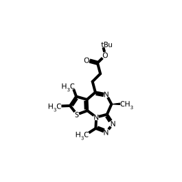 Cc1sc2c(c1C)C(CCC(=O)OC(C)(C)C)=N[C@@H](C)c1nnc(C)n1-2